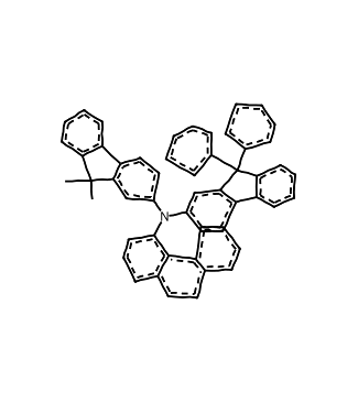 CC1(C)c2ccccc2-c2ccc(N(c3ccc4c(c3)C(c3ccccc3)(c3ccccc3)c3ccccc3-4)c3cccc4ccc5ccccc5c34)cc21